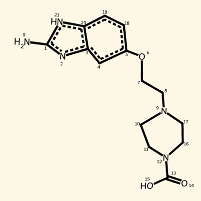 Nc1nc2cc(OCCN3CCN(C(=O)O)CC3)ccc2[nH]1